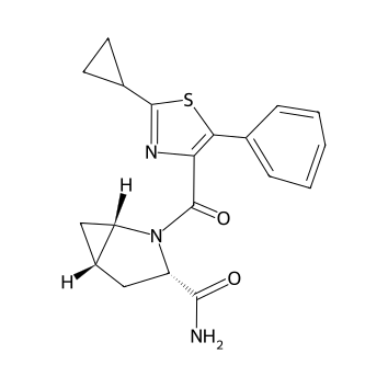 NC(=O)[C@@H]1C[C@@H]2C[C@@H]2N1C(=O)c1nc(C2CC2)sc1-c1ccccc1